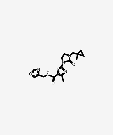 Cc1nc(N2CCN(CC3(C)CC3)C2=O)sc1C(=O)NCc1cocn1